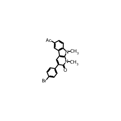 CC(=O)c1ccc2c(c1)c1cc(-c3ccc(Br)cc3)c(=O)n(C)c1n2C